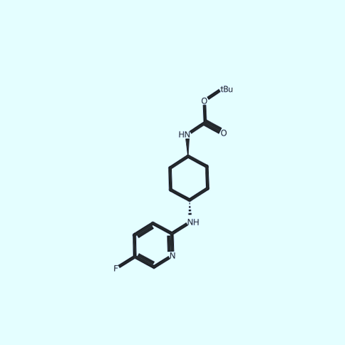 CC(C)(C)OC(=O)N[C@H]1CC[C@H](Nc2ccc(F)cn2)CC1